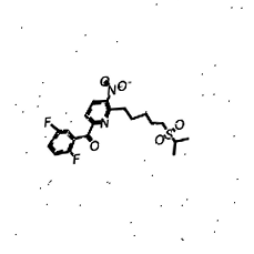 CC(C)S(=O)(=O)CCCCCc1nc(C(=O)c2cc(F)ccc2F)ccc1[N+](=O)[O-]